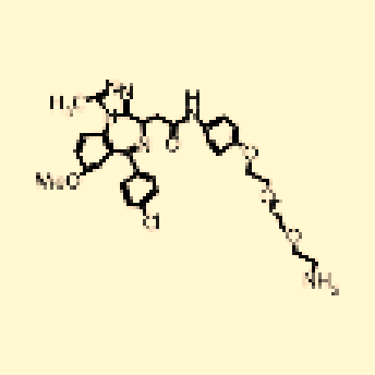 COc1ccc2c(c1)C(c1ccc(Cl)cc1)=NC(CC(=O)Nc1ccc(OCCOCCOCCN)cc1)c1nnc(C)n1-2